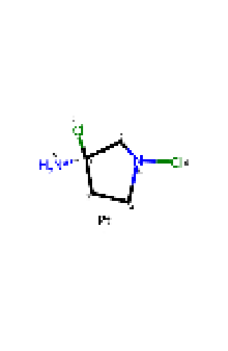 N[C@@]1(Cl)CCN(Cl)C1.[Pt]